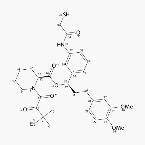 CCC(C)(C)C(=O)C(=O)N1CCCC[C@H]1C(=O)O[C@H](CCc1ccc(OC)c(OC)c1)c1cccc(NC(=O)CS)c1